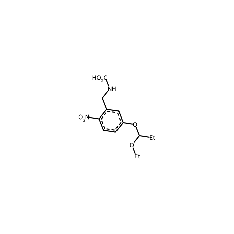 CCOC(CC)Oc1ccc([N+](=O)[O-])c(CNC(=O)O)c1